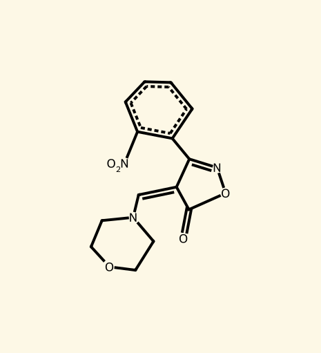 O=C1ON=C(c2ccccc2[N+](=O)[O-])C1=CN1CCOCC1